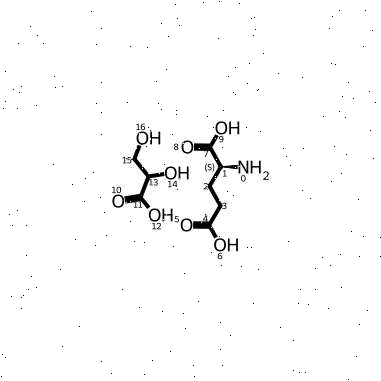 N[C@@H](CCC(=O)O)C(=O)O.O=C(O)C(O)CO